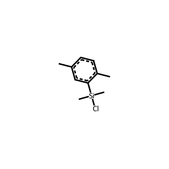 Cc1ccc(C)c([Si](C)(C)Cl)c1